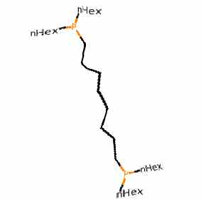 CCCCCCP(CCCCCC)CCCCCCCCP(CCCCCC)CCCCCC